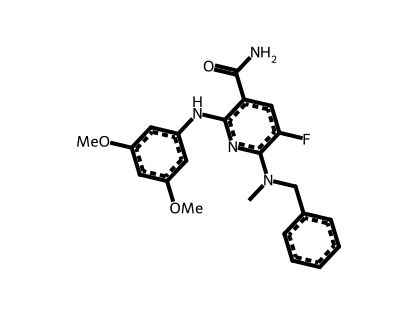 COc1cc(Nc2nc(N(C)Cc3ccccc3)c(F)cc2C(N)=O)cc(OC)c1